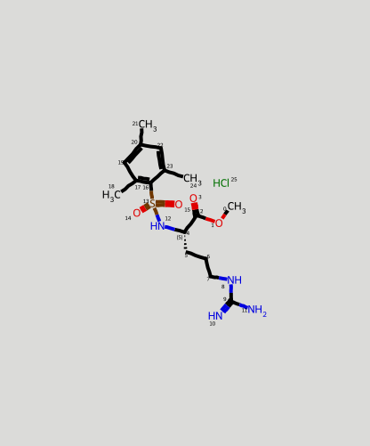 COC(=O)[C@H](CCCNC(=N)N)NS(=O)(=O)c1c(C)cc(C)cc1C.Cl